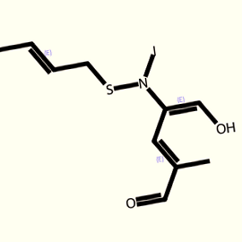 C/C=C/CSN(I)C(/C=C(\C)C=O)=C/O